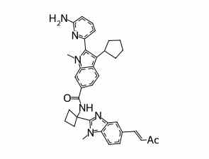 CC(=O)/C=C/c1ccc2c(c1)nc(C1(NC(=O)c3ccc4c(C5CCCC5)c(-c5cccc(N)n5)n(C)c4c3)CCC1)n2C